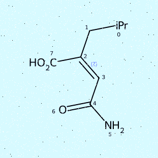 CC(C)C/C(=C/C(N)=O)C(=O)O